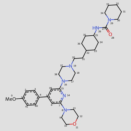 COc1ccc(-c2cc(N3CCOCC3)nc(N3CCN(CCC4CCC(NC(=O)N5CCCCC5)CC4)CC3)c2)cc1